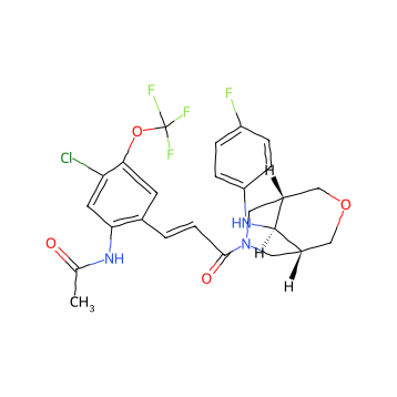 CC(=O)Nc1cc(Cl)c(OC(F)(F)F)cc1/C=C/C(=O)N1C[C@H]2COC[C@@H](C1)[C@@H]2Nc1ccc(F)cc1